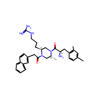 Cc1ccc(C[C@@H](N)C(=O)N2C[C@H](CCCNC(=N)N)N(C(=O)Cc3ccc4ccccc4c3)C[C@H]2C)c(C)c1